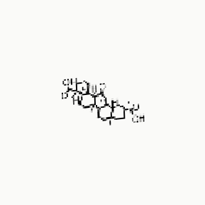 C[C@]1(C(=O)O)CC[C@]2(C)CC[C@]3(C)C(=CC(=O)[C@@H]4[C@@]5(C)CCC[C@@](C)(C(=O)O)[C@@H]5CC[C@]43C)[C@@H]2C1